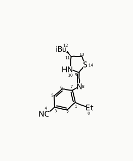 CCc1cc(C#N)ccc1N=C1N[C@@H](C(C)CC)CS1